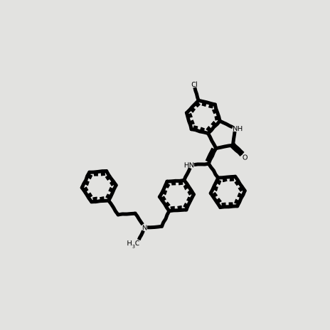 CN(CCc1ccccc1)Cc1ccc(NC(=C2C(=O)Nc3cc(Cl)ccc32)c2ccccc2)cc1